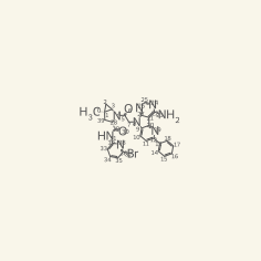 C[C@]12CC1N(C(=O)Cn1c3ccc(-c4ccccc4)nc3c3c(N)ncnc31)[C@H](C(=O)Nc1cccc(Br)n1)C2